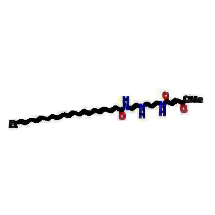 CCC=CCC=CCC=CCC=CCC=CCC=CCCC(=O)NCCNCCCNC(=O)C=CC(=O)OC